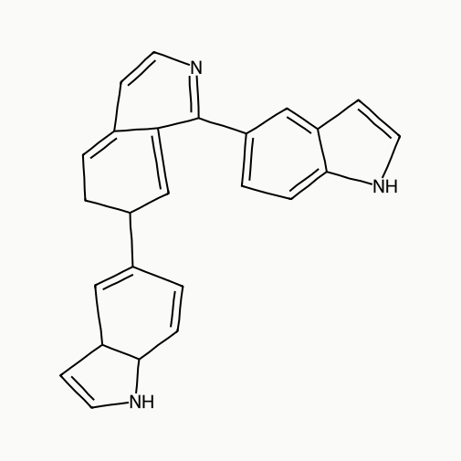 C1=CC2C=C(C3C=c4c(-c5ccc6[nH]ccc6c5)nccc4=CC3)C=CC2N1